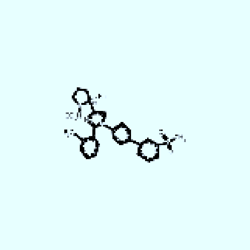 CC(C)(C)[C@@]1(c2cn(-c3ccc(-c4cccc(S(C)(=O)=O)c4)cc3)c(-c3ccccc3C(F)(F)F)n2)CCCN1C(=O)O